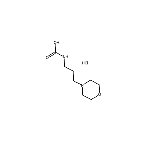 Cl.O=C(O)NCCCN1CCOCC1